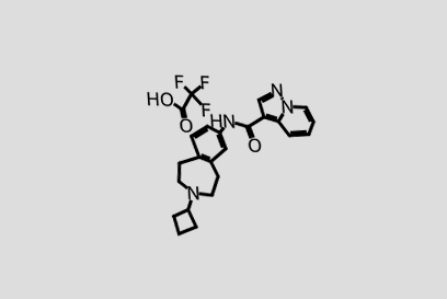 O=C(Nc1ccc2c(c1)CCN(C1CCC1)CC2)c1cnn2ccccc12.O=C(O)C(F)(F)F